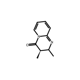 CC1N=C2C=CC=CN2C(=O)[C@@H]1C